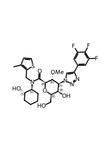 CO[C@@H]1[C@@H](n2cc(-c3cc(F)c(F)c(F)c3)nn2)[C@@H](O)[C@@H](CO)O[C@H]1C(=O)N(Cc1sccc1C)[C@H]1CCCC[C@@H]1O